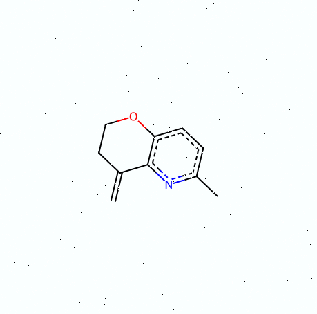 C=C1CCOc2ccc(C)nc21